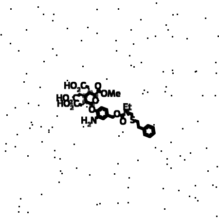 CCN(CSCCc1ccccc1)C(=O)OCc1ccc(O[C@@H]2O[C@H](C(=O)OC)[C@@H](CC(=O)O)[C@H](CC(=O)O)[C@H]2CC(=O)O)c(N)c1